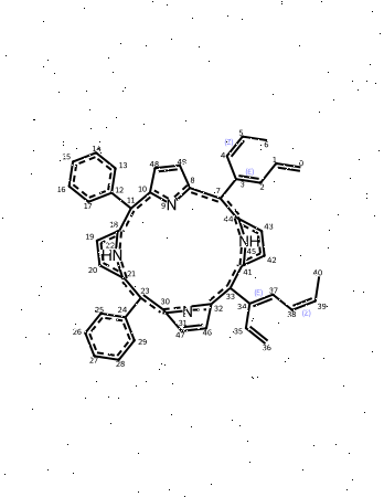 C=C/C=C(\C=C/C)c1c2nc(c(-c3ccccc3)c3ccc([nH]3)c(-c3ccccc3)c3nc(c(/C(C=C)=C/C=C\C)c4ccc1[nH]4)C=C3)C=C2